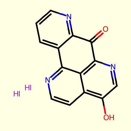 I.I.O=C1c2ncccc2-c2nccc3c(O)cnc1c23